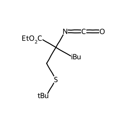 CCOC(=O)C(CSC(C)(C)C)(N=C=O)C(C)CC